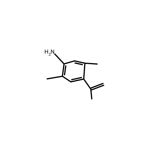 C=C(C)c1cc(C)c(N)cc1C